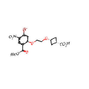 COC(=O)c1cc([N+](=O)[O-])c(Br)cc1OCCO[C@H]1C[C@@H](C(=O)O)C1